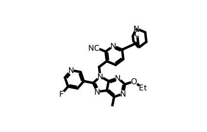 CCOc1nc(C)c2nc(-c3cncc(F)c3)n(Cc3ccc(C4CN5CCC4CC5)nc3C#N)c2n1